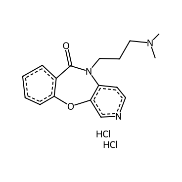 CN(C)CCCN1C(=O)c2ccccc2Oc2cnccc21.Cl.Cl